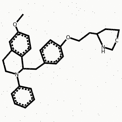 COc1ccc2c(c1)CCN(c1ccccc1)C2Cc1ccc(OCCC2CCCCN2)cc1